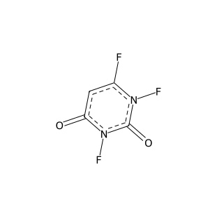 O=c1cc(F)n(F)c(=O)n1F